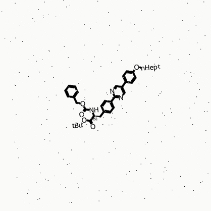 CCCCCCCOc1ccc(-c2cnc(-c3ccc(C[C@H](NC(=O)OCc4ccccc4)C(=O)OC(C)(C)C)cc3)nc2)cc1